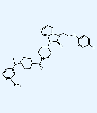 CC(c1ccnc(N)c1)N1CCC(C(=O)N2CCC(n3c(=O)n(CCOc4ccc(F)cc4)c4ccccc43)CC2)CC1